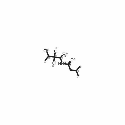 CC(C)CC(=O)NC(O)C(Cl)(Cl)C(C)Cl